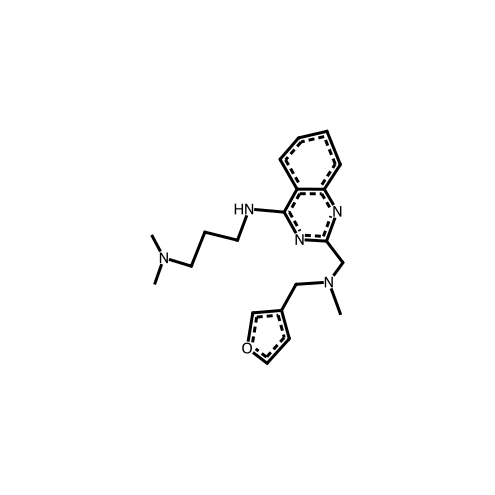 CN(C)CCCNc1nc(CN(C)Cc2ccoc2)nc2ccccc12